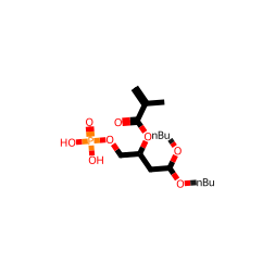 C=C(C)C(=O)OC(COP(=O)(O)O)CC(OCCCC)OCCCC